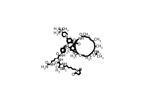 CC(=O)O[C@@H]1[C@H](C)C/C=C/O[C@@]2(C)Oc3c(C)c(O)c4c(=O)c(c5oc6cc(N7CCC([N+](C)(C)C)CC7)cc(OCc7ccc(NC(=O)[C@H](CCCNC(N)=O)NC(=O)[C@@H](NC(=O)CCCCCN8C(=O)C=CC8=O)C(C)C)cc7)c6nc-5c4c3C2=O)NC(=O)/C(C)=C\C=C\[C@H](C)C[C@@H](C)C[C@H]1C